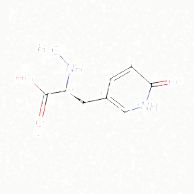 CN[C@@H](Cc1ccc(=O)[nH]c1)C(=O)O